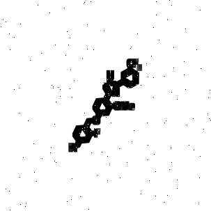 COc1cc(OCc2ccc(Br)cc2F)ccc1-c1c[nH]c(-c2cccc(C(F)(F)F)c2)n1